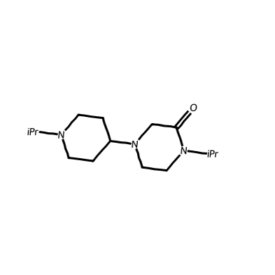 CC(C)N1CCC(N2CCN(C(C)C)C(=O)C2)CC1